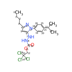 CCCCc1cc(NNC(=O)OCC(Cl)(Cl)Cl)n(-c2ccc(C(C)C)cc2)n1